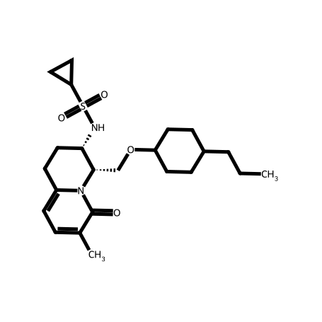 CCCC1CCC(OC[C@H]2[C@@H](NS(=O)(=O)C3CC3)CCc3ccc(C)c(=O)n32)CC1